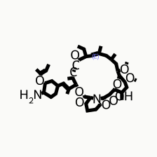 CC=C(C)OC1CC(C=C(C)C2OC(=O)C3CCCCN3C(=O)C(=O)C3(O)OC(C(OC)CC(C)C/C(C)=C/C(CC)C(=O)CCC2C)C(OC)CC3C)CCC1N